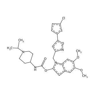 COc1cc2cc(OC(=O)NC3CCN(C(C)C)CC3)n(Cc3cc(-c4ccc(Cl)s4)on3)c2cc1OC